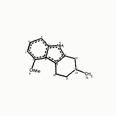 COc1cccc2[nH]c3c(c12)CCN(C)C3